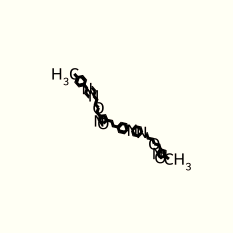 Cc1ccc(N2CCN(CCOCc3cc(CCc4ccc(N5CCN(CCCOCc6cc(C)on6)CC5)cc4)on3)CC2)cc1